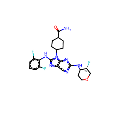 NC(=O)C1CCC(n2c(Nc3c(F)cccc3F)nc3cnc(NC4CCOC[C@H]4F)nc32)CC1